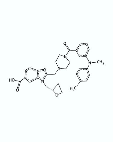 Cc1ccc(N(C)c2cccc(C(=O)N3CCN(Cc4nc5ccc(C(=O)O)cc5n4C[C@@H]4CCO4)CC3)c2)cc1